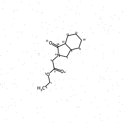 CCOC(=O)CN1CC2CCCCC2C1=O